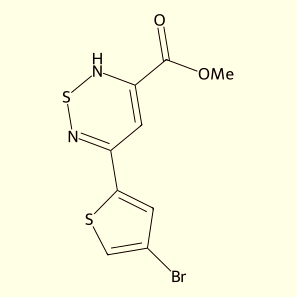 COC(=O)C1=CC(c2cc(Br)cs2)=NSN1